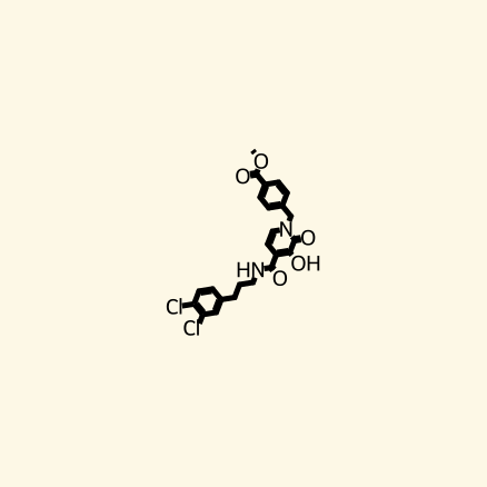 COC(=O)c1ccc(Cn2ccc(C(=O)NCCCc3ccc(Cl)c(Cl)c3)c(O)c2=O)cc1